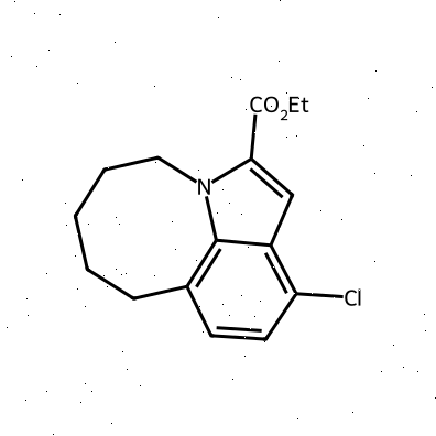 CCOC(=O)c1cc2c(Cl)ccc3c2n1CCCCC3